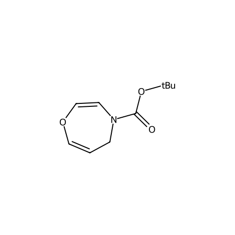 CC(C)(C)OC(=O)N1C=COC=CC1